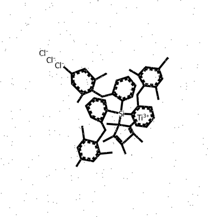 CC1=C(C)C(C)([Si](c2ccccc2Cc2c(C)cc(C)cc2C)(c2ccccc2Cc2c(C)cc(C)cc2C)c2ccccc2Cc2c(C)cc(C)cc2C)[C]([Ti+3])=C1C.[Cl-].[Cl-].[Cl-]